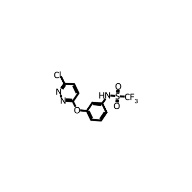 O=S(=O)(Nc1cccc(Oc2ccc(Cl)nn2)c1)C(F)(F)F